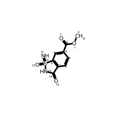 COC(=O)c1ccc2c(c1)S(=N)(=O)NC2=O